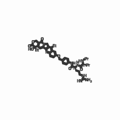 CCc1c2c(nc3ccc(OCc4ccc(NC(=O)[C@H](CCCNC(=N)N)NC(=O)[C@@H](NC(C)C)C(C)C)cc4)cc13)-c1cc3c(c(=O)n1C2)COC(=O)[C@]3(O)CC